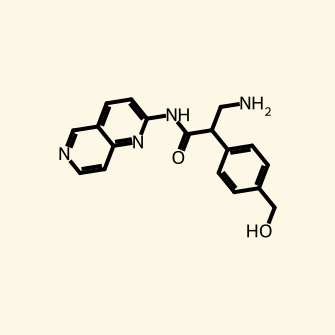 NCC(C(=O)Nc1ccc2cnccc2n1)c1ccc(CO)cc1